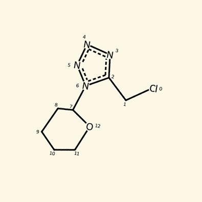 ClCc1nnnn1C1CCCCO1